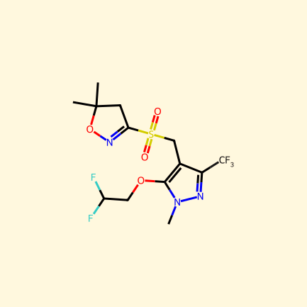 Cn1nc(C(F)(F)F)c(CS(=O)(=O)C2=NOC(C)(C)C2)c1OCC(F)F